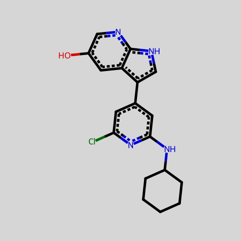 Oc1cnc2[nH]cc(-c3cc(Cl)nc(NC4CCCCC4)c3)c2c1